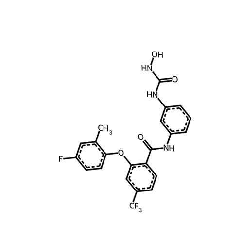 Cc1cc(F)ccc1Oc1cc(C(F)(F)F)ccc1C(=O)Nc1cccc(NC(=O)NO)c1